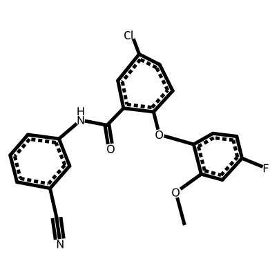 COc1cc(F)ccc1Oc1ccc(Cl)cc1C(=O)Nc1cccc(C#N)c1